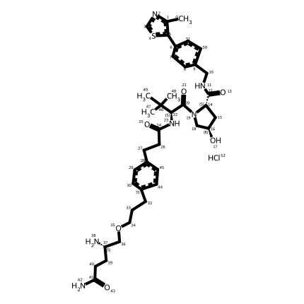 Cc1ncsc1-c1ccc(CNC(=O)[C@@H]2C[C@@H](O)CN2C(=O)[C@@H](NC(=O)CCc2ccc(CCCOC[C@@H](N)CCC(N)=O)cc2)C(C)(C)C)cc1.Cl